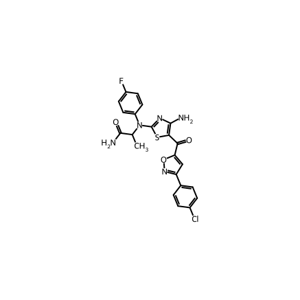 CC(C(N)=O)N(c1ccc(F)cc1)c1nc(N)c(C(=O)c2cc(-c3ccc(Cl)cc3)no2)s1